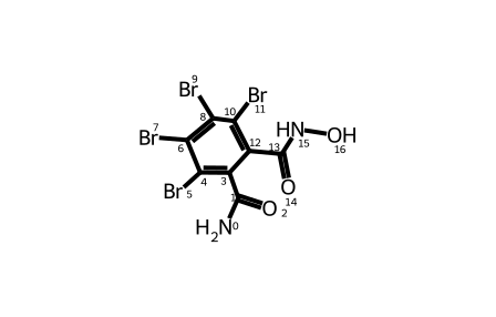 NC(=O)c1c(Br)c(Br)c(Br)c(Br)c1C(=O)NO